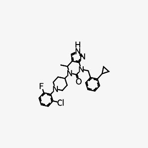 CC1c2c[nH]nc2N(Cc2ccccc2C2CC2)C(=O)N1C1CCN(c2c(F)cccc2Cl)CC1